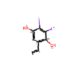 C=Cc1cc(O)c(I)c(I)c1O